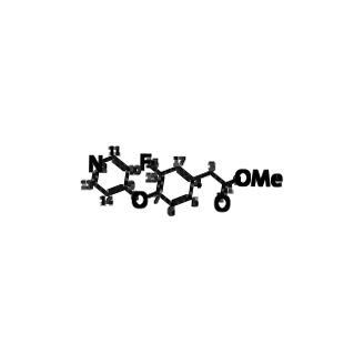 COC(=O)Cc1ccc(Oc2ccncc2)c(F)c1